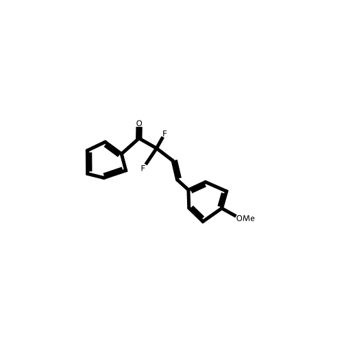 COc1ccc(/C=C/C(F)(F)C(=O)c2ccccc2)cc1